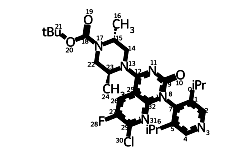 CC(C)c1cncc(C(C)C)c1-n1c(=O)nc(N2C[C@@H](C)N(C(=O)OC(C)(C)C)C[C@@H]2C)c2cc(F)c(Cl)nc21